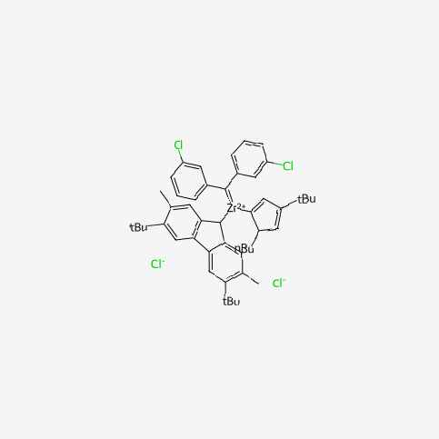 CCCCC1C=C(C(C)(C)C)C=[C]1[Zr+2](=[C](c1cccc(Cl)c1)c1cccc(Cl)c1)[CH]1c2cc(C)c(C(C)(C)C)cc2-c2cc(C(C)(C)C)c(C)cc21.[Cl-].[Cl-]